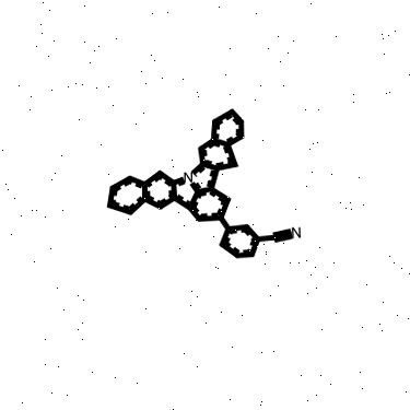 N#Cc1cccc(-c2cc3c4cc5ccccc5cc4n4c5cc6ccccc6cc5c(c2)c34)c1